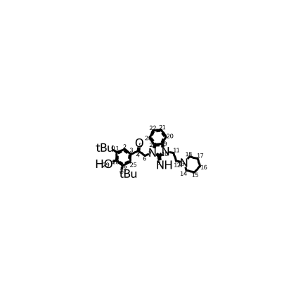 CC(C)(C)c1cc(C(=O)Cn2c(=N)n(CCN3CCCCC3)c3ccccc32)cc(C(C)(C)C)c1O